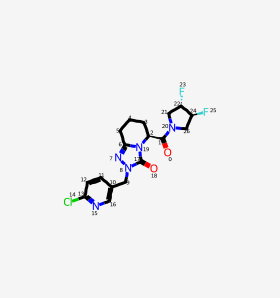 O=C([C@@H]1CCCc2nn(Cc3ccc(Cl)nc3)c(=O)n21)N1C[C@H](F)[C@@H](F)C1